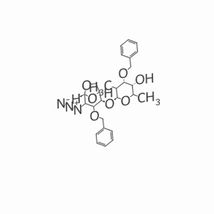 CC1O[C@@H](O[C@H]2C(OCc3ccccc3)C(N=[N+]=[N-])[C@@H]3OC[C@@H]2O3)C(C)[C@H](OCc2ccccc2)[C@@H]1O